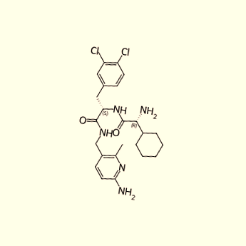 Cc1nc(N)ccc1CNC(=O)[C@H](Cc1ccc(Cl)c(Cl)c1)NC(=O)[C@H](N)C1CCCCC1